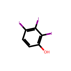 Oc1ccc(I)c(I)c1I